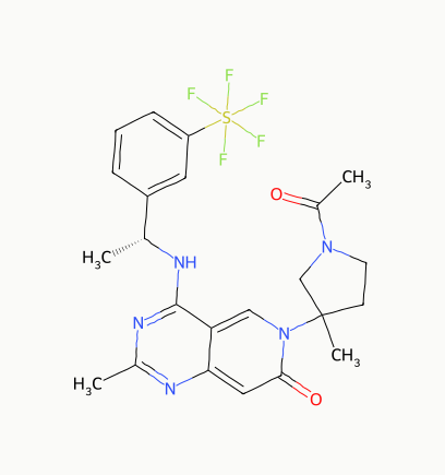 CC(=O)N1CCC(C)(n2cc3c(N[C@H](C)c4cccc(S(F)(F)(F)(F)F)c4)nc(C)nc3cc2=O)C1